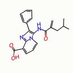 C=C(CC(C)C)C(=O)Nc1c(-c2ccccc2)nc2c(C(=O)O)cccn12